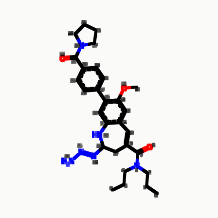 CCCN(CCC)C(=O)C1=Cc2cc(OC)c(-c3ccc(C(=O)N4CCCC4)cc3)cc2NC(N=NN)C1